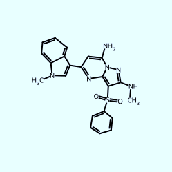 CNc1nn2c(N)cc(-c3cn(C)c4ccccc34)nc2c1S(=O)(=O)c1ccccc1